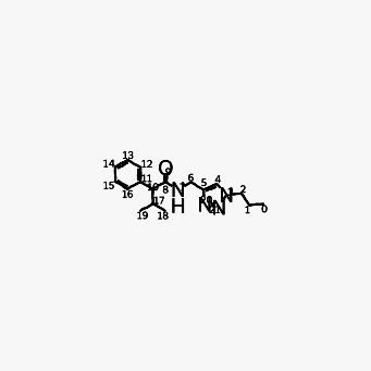 CCCn1cc(CNC(=O)C(c2ccccc2)C(C)C)nn1